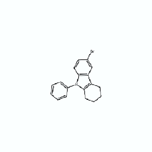 Brc1ccc2c(c1)c1c(n2-c2ccccc2)CCCC1